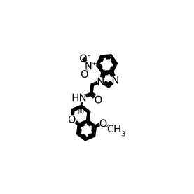 COc1cccc2c1C[C@@H](NC(=O)Cn1cnc3cccc([N+](=O)[O-])c31)CO2